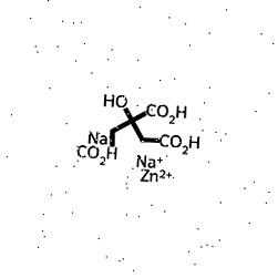 O=C(O)CC(O)(CC(=O)O)C(=O)O.[Na+].[Na+].[Zn+2]